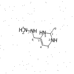 CC1NCC=C(CNN)N1